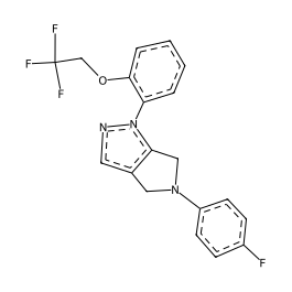 Fc1ccc(N2Cc3cnn(-c4ccccc4OCC(F)(F)F)c3C2)cc1